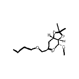 CCCCOCC1C[C@@H]2OC(C)(C)O[C@@H]2[C@H](OC)O1